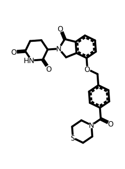 O=C1CCC(N2Cc3c(OCc4ccc(C(=O)N5CCSCC5)cc4)cccc3C2=O)C(=O)N1